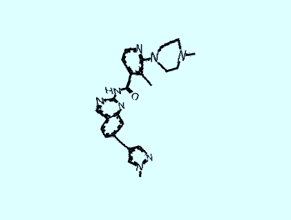 Cc1c(C(=O)Nc2ncc3ccc(-c4cnn(C)c4)cc3n2)ccnc1N1CCN(C)CC1